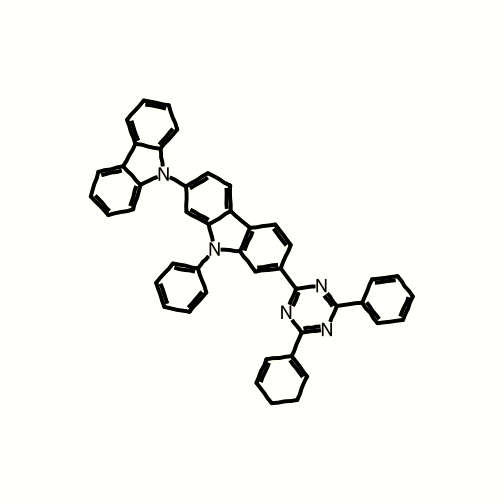 C1=CC(c2nc(-c3ccccc3)nc(-c3ccc4c5ccc(-n6c7ccccc7c7ccccc76)cc5n(-c5ccccc5)c4c3)n2)=CCC1